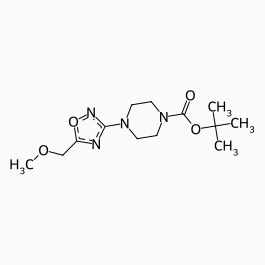 COCc1nc(N2CCN(C(=O)OC(C)(C)C)CC2)no1